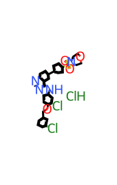 Cl.O=S(=O)(c1ccc(-c2ccc3ncnc(Nc4ccc(OCc5cccc(Cl)c5)c(Cl)c4)c3c2)cc1)N1CCOCC1